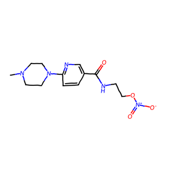 CN1CCN(c2ccc(C(=O)NCCO[N+](=O)[O-])cn2)CC1